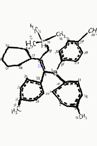 Cc1ccc(B(/C(=C(\C[PH](C)(C)C)C2CCCCC2)c2ccc(C)cc2)c2ccc(C)cc2)cc1